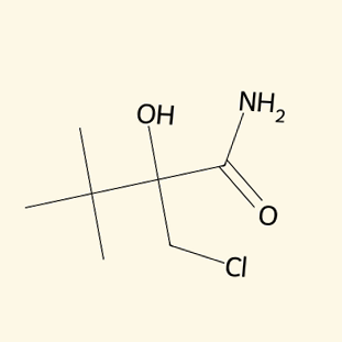 CC(C)(C)C(O)(CCl)C(N)=O